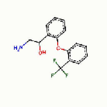 NCC(O)c1ccccc1Oc1ccccc1C(F)(F)F